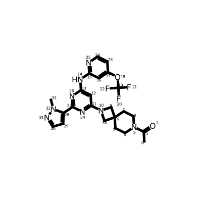 CC(=O)N1CCC2(CC1)CN(c1cc(Nc3cc(OC(F)(F)F)ccn3)nc(-c3ccnn3C)n1)C2